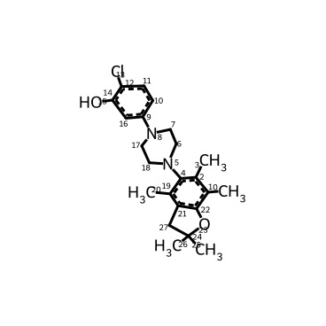 Cc1c(C)c(N2CCN(c3ccc(Cl)c(O)c3)CC2)c(C)c2c1OC(C)(C)C2